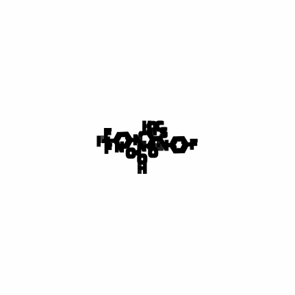 CSC(Nc1ccc(F)cc1)=C1C(=O)CN(c2ccc(C(F)(F)F)nc2)N(C(=O)O)C1=O